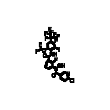 O=C(Nc1c(I)cc(C(F)(C(F)(F)F)C(F)(F)F)cc1OC(F)F)c1cccc(N(O)C(=O)c2ccc(Cl)nc2)c1F